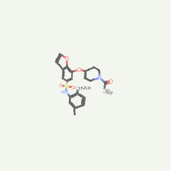 COC(=O)N1CCC(Oc2cc(S(=O)(=O)Nc3cc(C)ccc3OC)cc3ccoc23)CC1